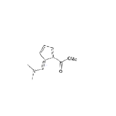 COC(=O)C1=CC=C/C1=C\N(C)C